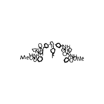 COC(=O)N[C@@H](C(=O)N1CCC[C@H]1C(=O)Nc1ccc([C@H]2CC[C@H](c3ccc(NC(=O)[C@@H]4CCCN4C(=O)[C@H](NC(=O)OC)c4ccccc4)cc3)N2c2ccc(F)cc2)cc1)c1ccccc1